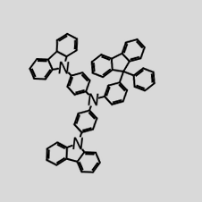 C1=CC2c3ccccc3N(c3ccc(N(c4ccc(-n5c6ccccc6c6ccccc65)cc4)c4cccc(C5(c6ccccc6)c6ccccc6-c6ccccc65)c4)cc3)C2C=C1